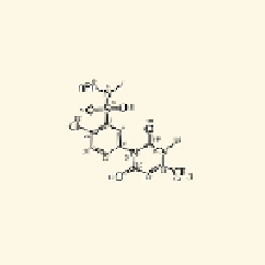 CCCN(C)S(=O)(=O)c1cc(-n2c(=O)cc(C(F)(F)F)n(C)c2=O)ccc1Cl